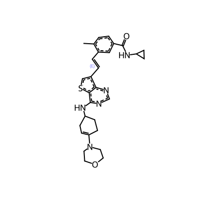 Cc1ccc(C(=O)NC2CC2)cc1/C=C/c1csc2c(NC3CC=C(N4CCOCC4)CC3)ncnc12